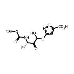 CC(C)[C@H](NC(=O)OC(C)(C)C)C(=O)C(O)Oc1cc(C(=O)O)on1